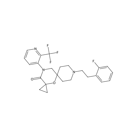 O=C1N(c2cccnc2C(F)(F)F)CC2(CCN(CCc3ccccc3F)CC2)OC12CC2